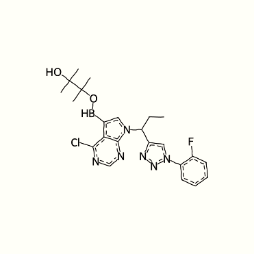 CCC(c1cn(-c2ccccc2F)nn1)n1cc(BOC(C)(C)C(C)(C)O)c2c(Cl)ncnc21